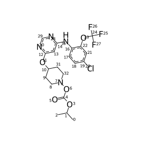 CC(C)OC(=O)ON1CCC(Oc2cc(Nc3ccc(Cl)cc3OC(F)(F)F)ncn2)CC1